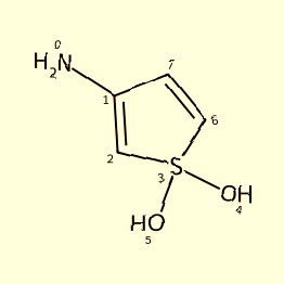 NC1=CS(O)(O)C=C1